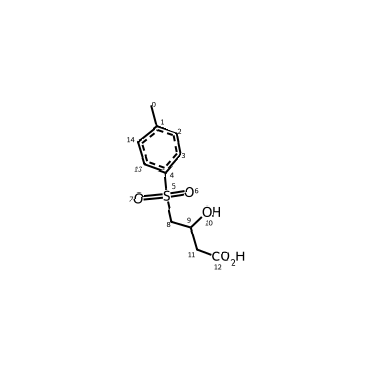 Cc1ccc(S(=O)(=O)CC(O)CC(=O)O)cc1